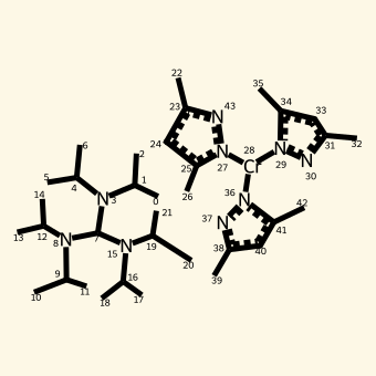 CC(C)N(C(C)C)C(N(C(C)C)C(C)C)N(C(C)C)C(C)C.Cc1cc(C)[n]([Cr]([n]2nc(C)cc2C)[n]2nc(C)cc2C)n1